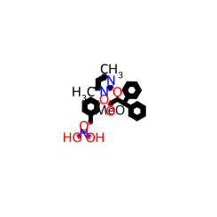 COC(c1ccccc1)(c1ccccc1)[C@H](Oc1nc(C)cc(C)n1)C(=O)Oc1cccc(CON(O)O)c1